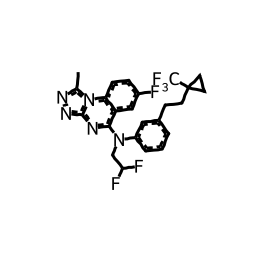 Cc1nnc2nc(N(CC(F)F)c3cccc(CCC4(C(F)(F)F)CC4)c3)c3cc(F)ccc3n12